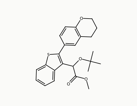 COC(=O)C(OC(C)(C)C)c1c(-c2ccc3c(c2)CCCO3)sc2ccccc12